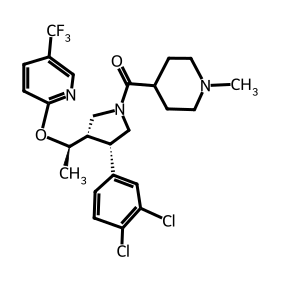 C[C@@H](Oc1ccc(C(F)(F)F)cn1)[C@@H]1CN(C(=O)C2CCN(C)CC2)C[C@@H]1c1ccc(Cl)c(Cl)c1